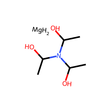 CC(O)N(C(C)O)C(C)O.[MgH2]